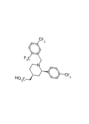 O=C(O)C[C@H]1CCN(Cc2cc(C(F)(F)F)ccc2C(F)(F)F)[C@@H](c2ccc(C(F)(F)F)cc2)C1